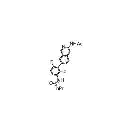 CCC[S+]([O-])Nc1ccc(F)c(-c2ccc3cc(NC(C)=O)ncc3c2)c1F